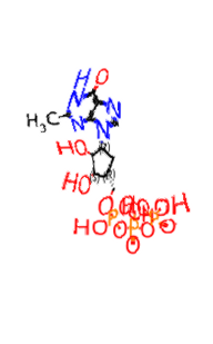 Cc1nc2c(ncn2[C@@H]2C[C@H](COP(=O)(O)OP(=O)(O)OP(=O)(O)O)[C@H](O)C2O)c(=O)[nH]1